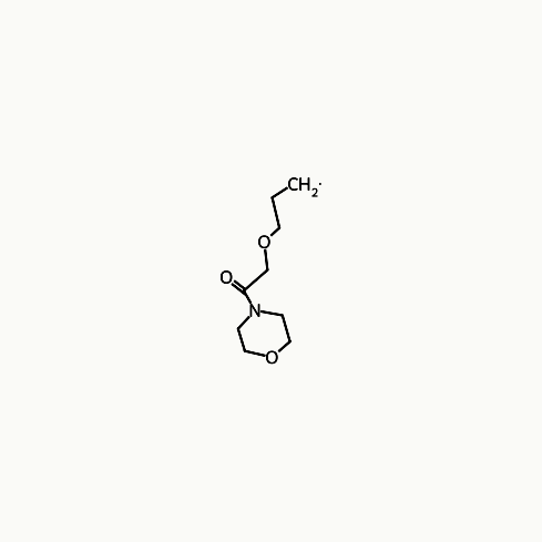 [CH2]CCOCC(=O)N1CCOCC1